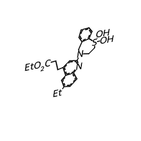 CCOC(=O)CCc1cc(N2CCS(O)(O)c3ccccc3C2)nc2ccc(CC)cc12